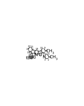 Cc1ccnc(-c2c(C)ccc3c2oc2nc4c(cc23)-c2ccccc2C4(CC(C)(C)C)CC(C)(C)C)c1